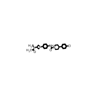 CC(=O)N(C)C1CN(c2ccc(NC(=O)N3CCC(c4ccc(Cl)cc4)CC3)cc2)C1